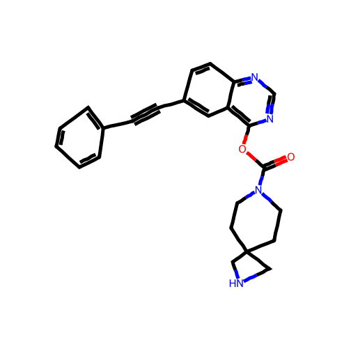 O=C(Oc1ncnc2ccc(C#Cc3ccccc3)cc12)N1CCC2(CC1)CNC2